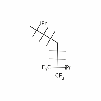 CC(C)C(C)(C)C(C)(C)C(C)(C)CC(C)(C)C(C)(C)C(C(C)C)(C(F)(F)F)C(F)(F)F